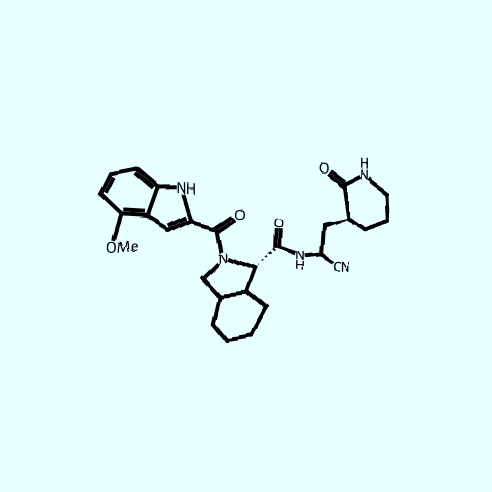 COc1cccc2[nH]c(C(=O)N3CC4CCCCC4[C@H]3C(=O)NC(C#N)C[C@@H]3CCCNC3=O)cc12